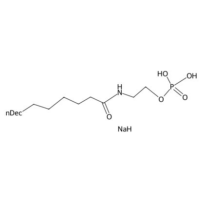 CCCCCCCCCCCCCCCC(=O)NCCOP(=O)(O)O.[NaH]